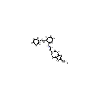 Nc1nc2c(s1)CCN(C/C=C/c1ccccc1OCc1cccnc1)CC2